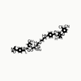 Cc1ncoc1-c1ccc([C@H](C)NC(=O)[C@@H]2C[C@@H](O)CN2C(=O)C(NC(=O)COCCCCNc2ccc(C(=O)N[C@H]3C(C)(C)[C@H](Oc4ccc(C#N)c(Cl)c4)C3(C)C)cc2)C(C)(C)C)cc1